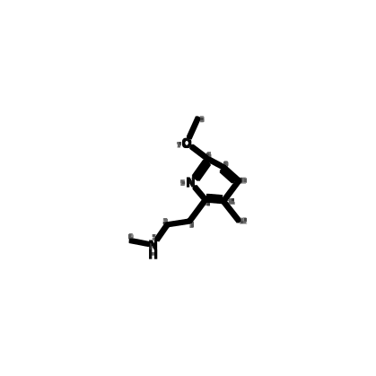 CNCCc1nc(OC)ccc1C